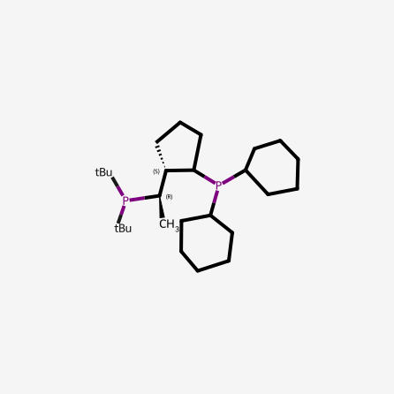 C[C@H]([C@@H]1CCCC1P(C1CCCCC1)C1CCCCC1)P(C(C)(C)C)C(C)(C)C